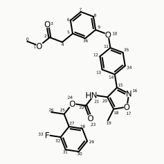 COC(=O)Cc1cccc(Oc2ccc(-c3noc(C)c3NC(=O)OC(C)c3ccccc3F)cc2)c1